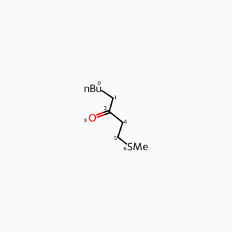 CCCCCC(=O)CCSC